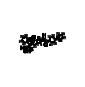 O=C(Nc1cc2c(s1)S(=O)(=O)N([C@@H](C(=O)NO)c1ccccc1)C2)c1ccc(-n2cccn2)cc1